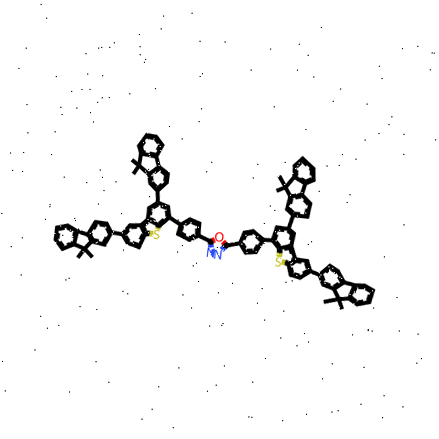 CC1(C)c2ccccc2-c2ccc(-c3ccc4sc5c(-c6ccc(-c7nnc(-c8ccc(-c9cc(-c%10ccc%11c(c%10)C(C)(C)c%10ccccc%10-%11)cc%10c9sc9ccc(-c%11ccc%12c(c%11)C(C)(C)c%11ccccc%11-%12)cc9%10)cc8)o7)cc6)cc(-c6ccc7c(c6)C(C)(C)c6ccccc6-7)cc5c4c3)cc21